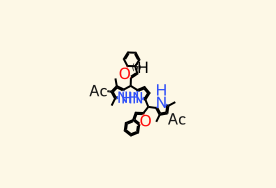 CC(=O)c1c(C)[nH]c(C(C2=C[C@@H]3C=CC=CC3O2)c2ccc(C(c3cc4ccccc4o3)c3[nH]c(C)c(C(C)=O)c3C)[nH]2)c1C